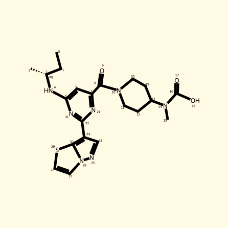 CC[C@@H](C)Nc1cc(C(=O)N2CCC(N(C)C(=O)O)CC2)nc(-c2cnn3ccsc23)n1